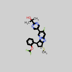 CS[C@@H]1CC(c2ccccc2OC(F)F)c2c1nc1cc(F)c(-c3cnc(C(C)(C)O)nc3)cn21